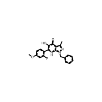 COc1ccc(-c2[nH]c3c(c(C)nn3Cc3ccccc3)c(=O)c2O)c(F)c1